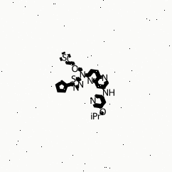 CC(C)Oc1cncc(Nc2cnc3ccc(N(COCC[Si](C)(C)C)c4nnc(C5CCCC5)s4)nc3c2)c1